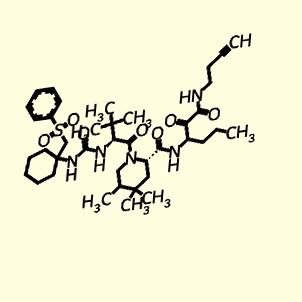 C#CCCNC(=O)C(=O)C(CCC)NC(=O)[C@@H]1CC(C)(C)C(C)CN1C(=O)[C@@H](NC(=O)NC1(CS(=O)(=O)c2ccccc2)CCCCC1)C(C)(C)C